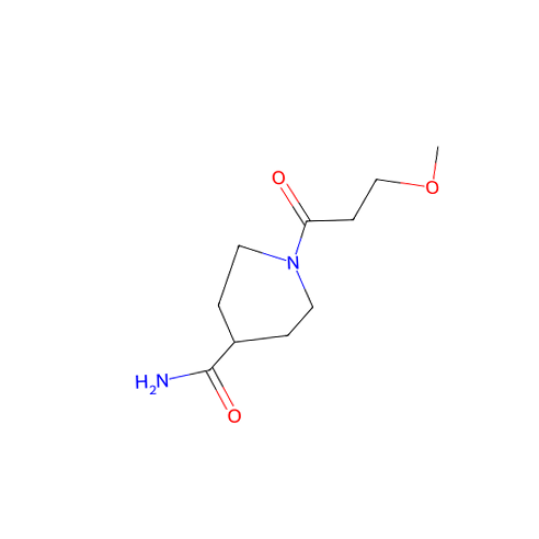 COCCC(=O)N1CCC(C(N)=O)CC1